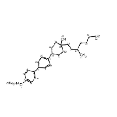 CCCCCCCOc1ccc(-c2ccc(C3CCC(C#N)(CCC(C)CCCC(C)C)CC3)cc2)cc1